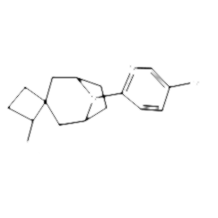 CCOC(=O)C1CCC12CC1CCC(C2)N1c1ccc([N+](=O)[O-])cn1